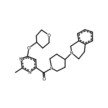 Cc1nc(OC2CCOCC2)cc(C(=O)N2CCC(N3CCc4ccccc4C3)CC2)n1